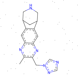 Cc1nc2cc3c(cc2nc1Cn1cncn1)C1CNCC3C1